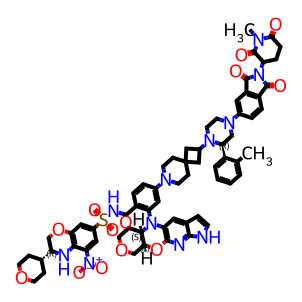 Cc1ccccc1[C@@H]1CN(c2ccc3c(c2)C(=O)N(C2CCC(=O)N(C)C2=O)C3=O)CCN1C1CC2(CCN(c3ccc(C(=O)NS(=O)(=O)c4cc5c(c([N+](=O)[O-])c4)N[C@H](C4CCOCC4)CO5)c(N4c5cc6cc[nH]c6nc5O[C@H]5COCC[C@@H]54)c3)CC2)C1